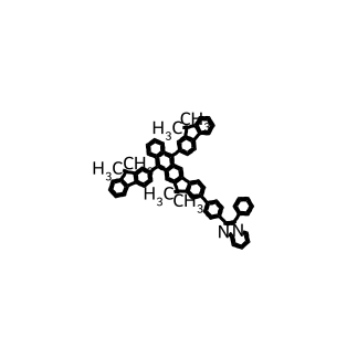 CC1(C)c2ccccc2-c2ccc(-c3c4ccccc4c(-c4ccc5c(c4)C(C)(C)c4ccccc4-5)c4cc5c(cc34)-c3ccc(-c4ccc(-c6nc7ccccn7c6-c6ccccc6)cc4)cc3C5(C)C)cc21